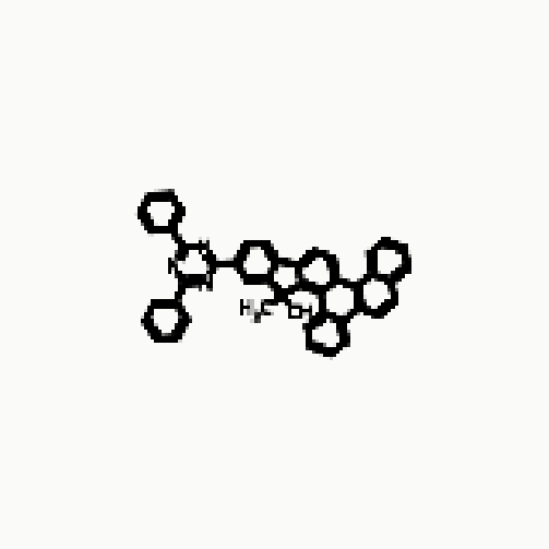 CC1(C)c2cc(-c3nc(-c4ccccc4)nc(-c4ccccc4)n3)ccc2-c2ccc3c(c21)c1ccccc1c1ccc2ccccc2c13